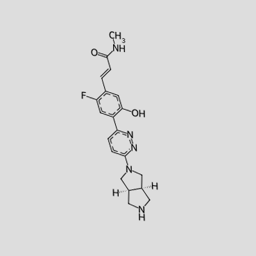 CNC(=O)/C=C/c1cc(O)c(-c2ccc(N3C[C@H]4CNC[C@H]4C3)nn2)cc1F